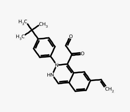 C=Cc1ccc2c(c1)=C(C(=O)C=O)N(c1ccc(C(C)(C)C)cc1)NC=2